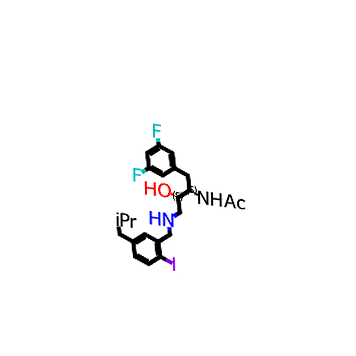 CC(=O)N[C@@H](Cc1cc(F)cc(F)c1)[C@@H](O)CNCc1cc(CC(C)C)ccc1I